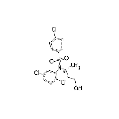 C[C@H](CCO)N(c1cc(Cl)ccc1Cl)S(=O)(=O)c1ccc(Cl)cc1